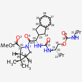 COC(=O)[C@@H]1[C@@H]2[C@H](CN1C(=O)[C@@H](NC(=O)N[C@H](COC(=O)NC(C)C)C(C)C)C1Cc3ccccc3C1)C2(C)C